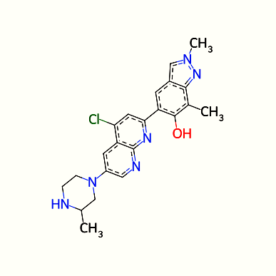 Cc1c(O)c(-c2cc(Cl)c3cc(N4CCNC(C)C4)cnc3n2)cc2cn(C)nc12